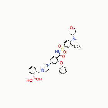 CN(c1ccc(S(=O)(=O)NC(=O)c2ccc(N3CCN(Cc4ccccc4B(O)O)CC3)cc2Oc2ccccc2)cc1[N+](=O)[O-])C1CCOCC1